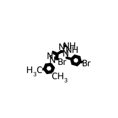 Cc1cc(C)cc(-n2ncc(C3=NNNN3Cc3ccc(Br)cc3)c2Br)c1